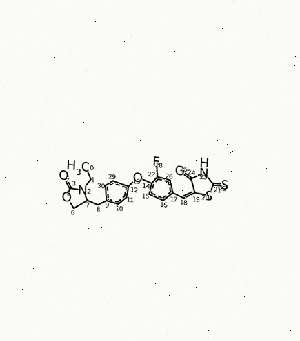 CCN1C(=O)OCC1Cc1ccc(Oc2ccc(/C=C3/SC(=S)NC3=O)cc2F)cc1